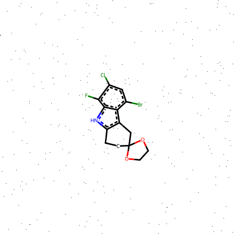 Fc1c(Cl)cc(Br)c2c3c([nH]c12)CCC1(C3)OCCO1